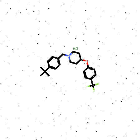 CC(C)(C)c1ccc(CN2CCC(Oc3ccc(C(F)(F)F)cc3)CC2)cc1.Cl